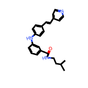 CC(C)CCNC(=O)c1cccc(Nc2ccc(C=Cc3ccncc3)cc2)c1